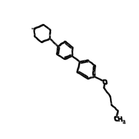 CCCCCOc1ccc(-c2ccc(C3CC[CH]CC3)cc2)cc1